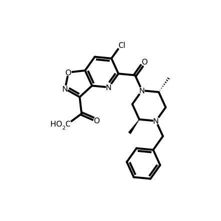 C[C@@H]1CN(Cc2ccccc2)[C@@H](C)CN1C(=O)c1nc2c(C(=O)C(=O)O)noc2cc1Cl